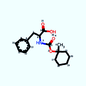 CC1(OC(=O)NC(Cc2ccccc2)C(=O)O)CCCCC1